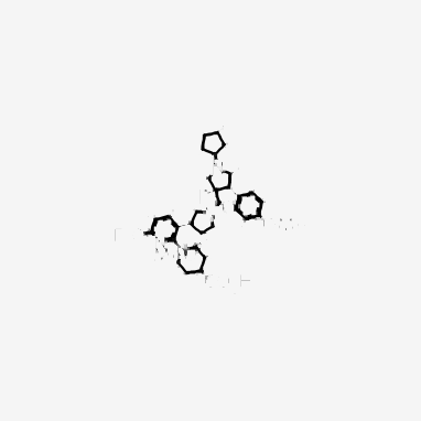 COC[C@H]1CN(C(=O)[C@]2(F)CN(C3CCCC3)C[C@H]2c2ccc(OC)cc2)C[C@@H]1c1ccc(C(F)(F)F)nc1N1CCC(C(=O)O)CC1